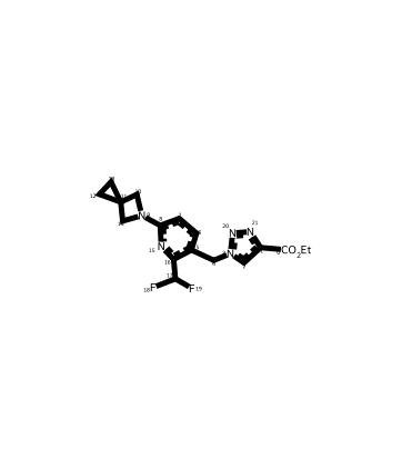 CCOC(=O)c1cn(Cc2ccc(N3CC4(CC4)C3)nc2C(F)F)nn1